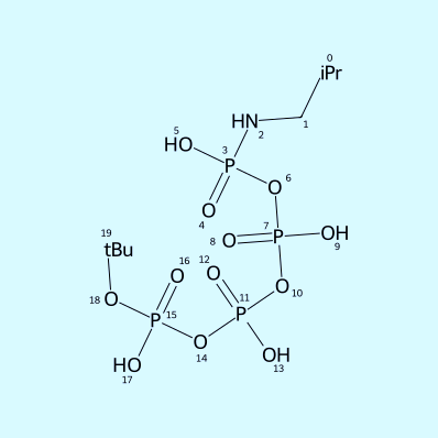 CC(C)CNP(=O)(O)OP(=O)(O)OP(=O)(O)OP(=O)(O)OC(C)(C)C